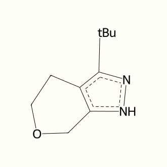 CC(C)(C)c1n[nH]c2c1CCOC2